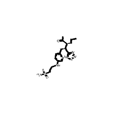 CCC[C@H](C(C)=O)[C@H](Cc1ccc(NCCS(N)(=O)=O)cn1)c1nnn[nH]1